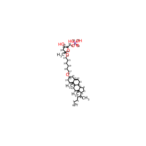 CC(C)CCC[C@H](C)C1CCC2C3CC=C4C[C@@H](OCCCCCCO[C@]5(C)C[C@H](O)[C@@H](COP(=O)(O)O)O5)CC[C@]4(C)C3CC[C@@]21C